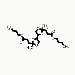 CCCCOC(=O)CCC1(C)OCC(C2COC(C)(CCC(=O)OCCCC)O2)O1